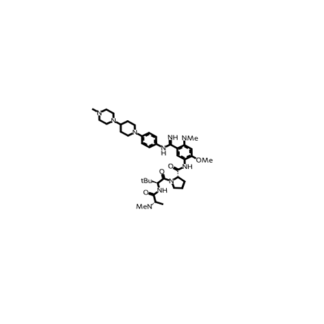 CNc1cc(OC)c(NC(=O)[C@@H]2CCCN2C(=O)[C@@H](NC(=O)[C@H](C)NC)C(C)(C)C)cc1C(=N)Nc1ccc(N2CCC(N3CCN(C)CC3)CC2)cc1